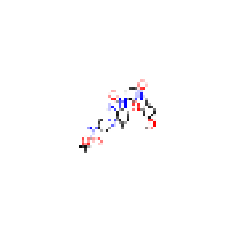 COc1ccc(CN2C(=O)CCC(n3c(=O)n(C)c4c(N5CCC(N(C)C(=O)OC(C)(C)C)CC5)c(C)ccc43)C2=O)cc1